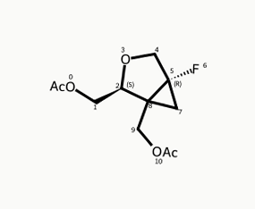 CC(=O)OC[C@H]1OC[C@@]2(F)CC12COC(C)=O